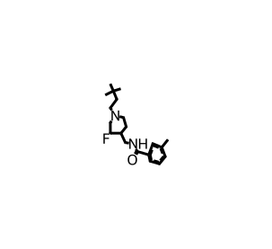 Cc1cccc(C(=O)NCC2CCN(CCC(C)(C)C)CC2F)c1